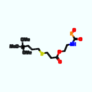 CO[Si](CCCSCCC(=O)OCCNC(=O)P=O)(OC)OC